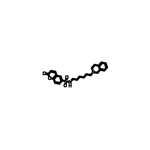 O=c1ccc2cc(S(=O)(=O)NCCCCCCN3CCc4ccccc4C3)ccc2o1